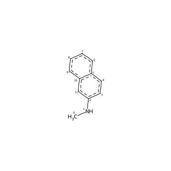 CNc1ccc2ccc[c]c2c1